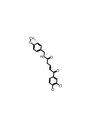 COc1ccc(CNC(=O)C/C=C/C(=O)c2ccc(Cl)c(Cl)c2)cc1